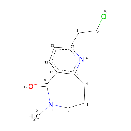 CN1CCCc2nc(CCCl)ccc2C1=O